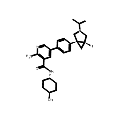 CC(C)N1C[C@@H]2C[C@]2(c2ccc(-c3cnc(N)c(C(=O)N[C@H]4CC[C@H](O)CC4)c3)cc2)C1